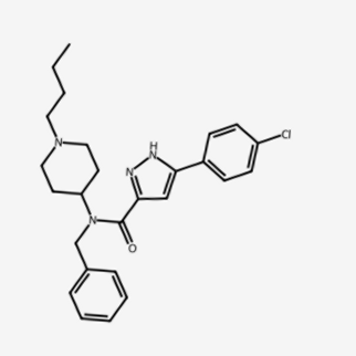 CCCCN1CCC(N(Cc2ccccc2)C(=O)c2cc(-c3ccc(Cl)cc3)[nH]n2)CC1